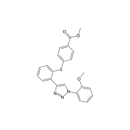 COC(=O)c1ccc(Sc2ccccc2-c2cn(-c3ccccc3OC)nn2)cc1